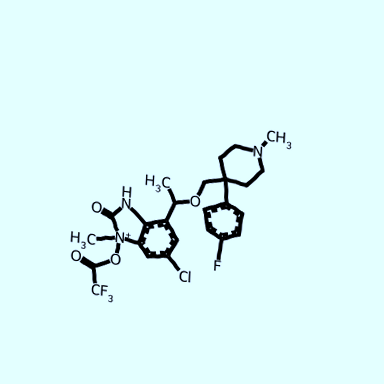 CC(OCC1(c2ccc(F)cc2)CCN(C)CC1)c1cc(Cl)cc2c1NC(=O)[N+]2(C)OC(=O)C(F)(F)F